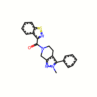 Cn1nc2c(c1-c1ccccc1)CCN(C(=O)c1nsc3ccccc13)C2